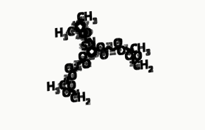 C=CC(=O)OC(C)COC(=O)CCC(=O)Oc1ccc(OC(=O)CCC(=O)OCC(C)OC(=O)C=C)c2sc(-c3cc4c(C)cc(C)cc4o3)nc12